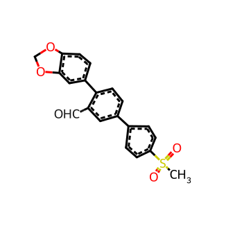 CS(=O)(=O)c1ccc(-c2ccc(-c3ccc4c(c3)OCO4)c(C=O)c2)cc1